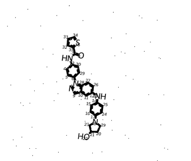 O=C(Nc1ccc(-n2ncc3cc(Nc4ccc(N5CCC(O)C5)cc4)ccc32)cc1)c1cccs1